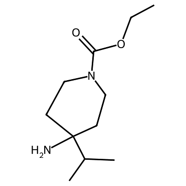 CCOC(=O)N1CCC(N)(C(C)C)CC1